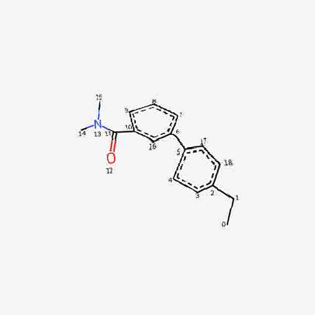 CCc1ccc(-c2cccc(C(=O)N(C)C)c2)cc1